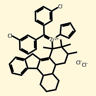 CC1CC2C(=C3Cc4ccccc4C3C3CCCCC23)[C](C)([Zr+2](=[C](c2cccc(Cl)c2)c2cccc(Cl)c2)[CH]2C=CC=C2)C1(C)C.[Cl-].[Cl-]